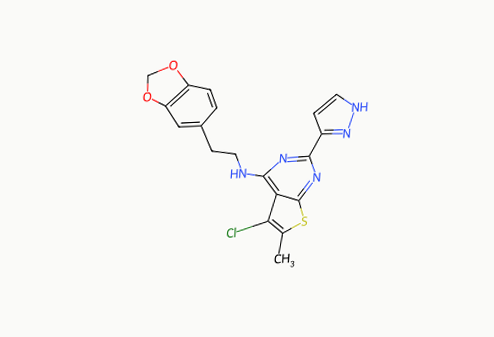 Cc1sc2nc(-c3cc[nH]n3)nc(NCCc3ccc4c(c3)OCO4)c2c1Cl